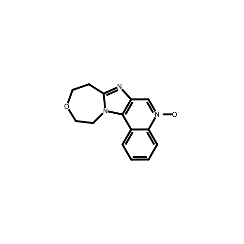 [O-][n+]1cc2nc3n(c2c2ccccc21)CCOCC3